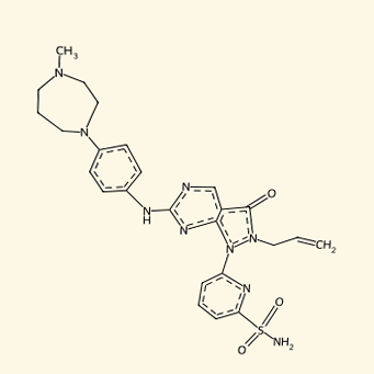 C=CCn1c(=O)c2cnc(Nc3ccc(N4CCCN(C)CC4)cc3)nc2n1-c1cccc(S(N)(=O)=O)n1